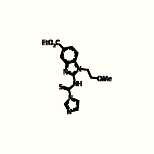 CCOC(=O)c1ccc2c(c1)nc(NC(=S)n1ccnc1)n2CCOC